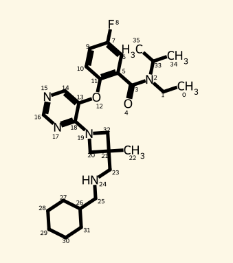 CCN(C(=O)c1cc(F)ccc1Oc1cncnc1N1CC(C)(CNCC2CCCCC2)C1)C(C)C